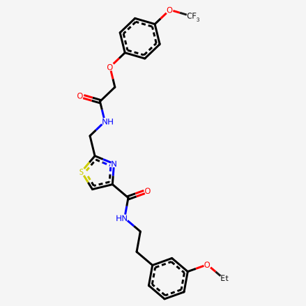 CCOc1cccc(CCNC(=O)c2csc(CNC(=O)COc3ccc(OC(F)(F)F)cc3)n2)c1